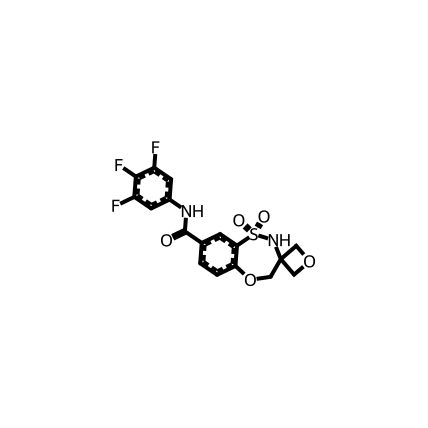 O=C(Nc1cc(F)c(F)c(F)c1)c1ccc2c(c1)S(=O)(=O)NC1(COC1)CO2